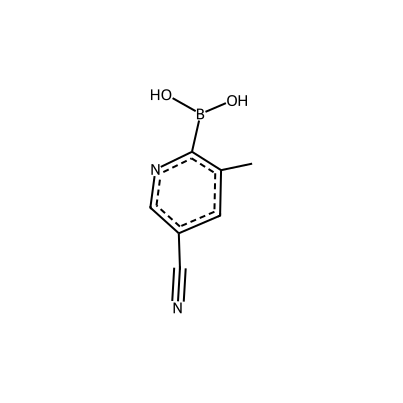 Cc1cc(C#N)cnc1B(O)O